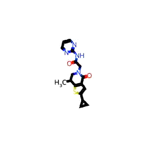 CC1CN(CC(=O)Nc2ncccn2)C(=O)c2cc(C3CC3)sc21